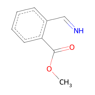 COC(=O)c1ccccc1C=N